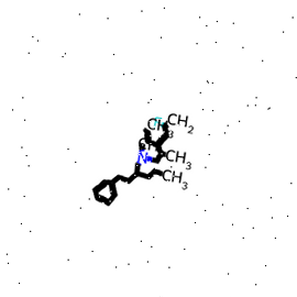 C=C(F)/C=C(\C=C/C)C(C)CN(CC)CC(CCC)CCc1ccccc1